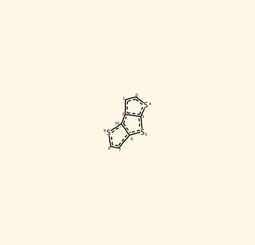 c1cc2c(s1)sc1ccsc12